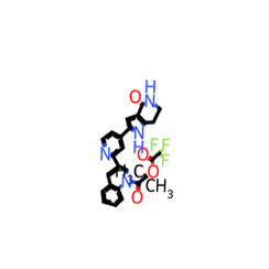 CC(C)(OC(=O)C(F)(F)F)C(=O)N1CC(c2cc(-c3cc4c([nH]3)CCNC4=O)ccn2)=Cc2ccccc21